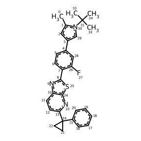 Cc1cc(-c2ccc(-c3nc4ccc(C5(c6ccccc6)CC5)nc4s3)c(F)c2)cn1C(C)(C)C